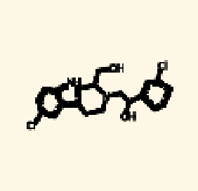 OCC1c2[nH]c3ccc(Cl)cc3c2CCN1CC(O)c1cccc(Cl)c1